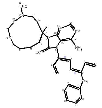 C=C/C(=C\C=C(/C=C)n1c(=O)n(C2(C)CCCCCCCN(C=O)CC2)c2ncnc(N)c21)Oc1ccccc1